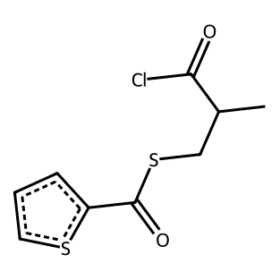 CC(CSC(=O)c1cccs1)C(=O)Cl